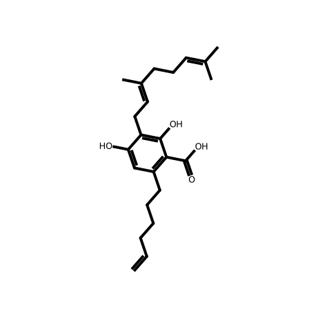 C=CCCCCc1cc(O)c(C/C=C(\C)CCC=C(C)C)c(O)c1C(=O)O